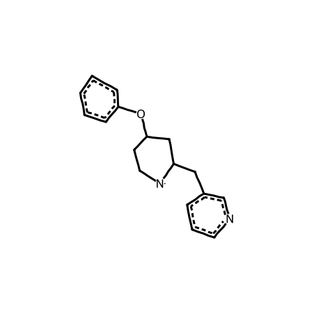 c1ccc(OC2CC[N]C(Cc3cccnc3)C2)cc1